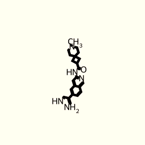 CN1CCC2(CC1)CC(C(=O)Nc1cc3cc(/C(C=N)=C/N)ccc3cn1)C2